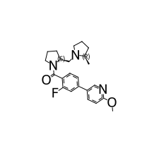 COc1ccc(-c2ccc(C(=O)N3CCC[C@H]3CN3CCC[C@H]3C)c(F)c2)cn1